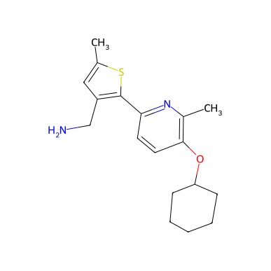 Cc1cc(CN)c(-c2ccc(OC3CCCCC3)c(C)n2)s1